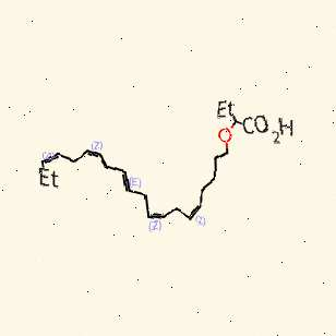 CC/C=C\C/C=C\C/C=C/C/C=C\C/C=C\CCCCOC(CC)C(=O)O